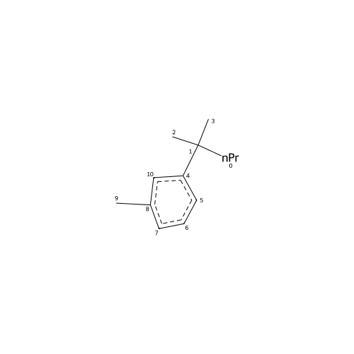 CCCC(C)(C)c1cccc(C)c1